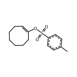 Cc1ccc(S(=O)(=O)OC2=CCCCCCC2)cc1